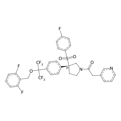 O=C(Cc1cccnc1)N1CC[C@](c2ccc(C(OCc3c(F)cccc3F)(C(F)(F)F)C(F)(F)F)cc2)(S(=O)(=O)c2ccc(F)cc2)C1